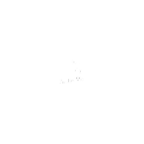 [Ca].[Cu].[Fe].[Mg].[Zn]